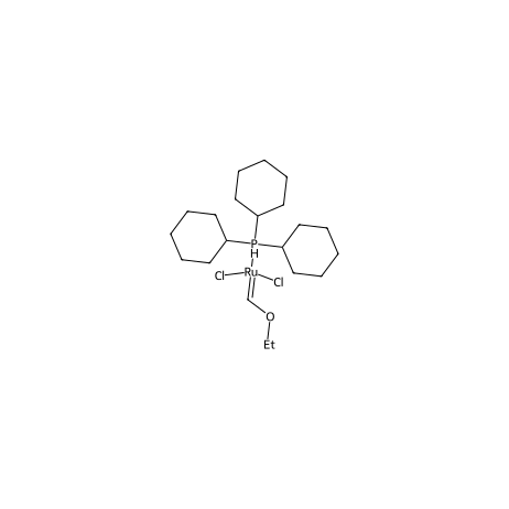 CCO[CH]=[Ru]([Cl])([Cl])[PH](C1CCCCC1)(C1CCCCC1)C1CCCCC1